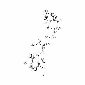 CCC(=O)C(Cl)(CC/C(=C/CCc1ccc2c(c1)OCO2)CC)C(=O)CC